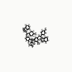 O=P(Oc1ccc(CC(c2ccc(F)cc2)n2nnc3ccccc32)cc1Br)(Oc1ccc(CC(c2ccc(F)cc2)n2nnc3ccccc32)cc1Br)C(F)F